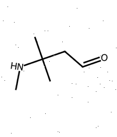 CNC(C)(C)CC=O